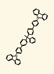 CC(c1ccccc1)(c1ccc(-c2ccc(-n3c4ccccc4c4ccccc43)cc2)cc1)c1ccc(-c2ccc(-n3c4ccccc4c4ccccc43)cc2)cc1